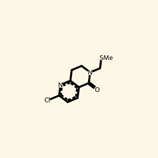 CSCN1CCc2nc(Cl)ccc2C1=O